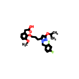 COc1cccc(CC(=O)O)c1OCCCc1cc(OC(C)C)nn1Cc1ccc(F)cc1F